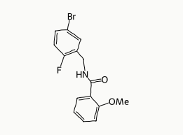 COc1ccccc1C(=O)NCc1cc(Br)ccc1F